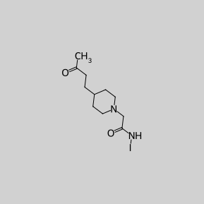 CC(=O)CCC1CCN(CC(=O)NI)CC1